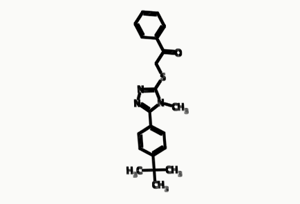 Cn1c(SCC(=O)c2ccccc2)nnc1-c1ccc(C(C)(C)C)cc1